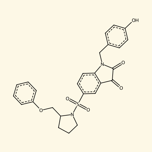 O=C1C(=O)N(Cc2ccc(O)cc2)c2ccc(S(=O)(=O)N3CCCC3COc3ccccc3)cc21